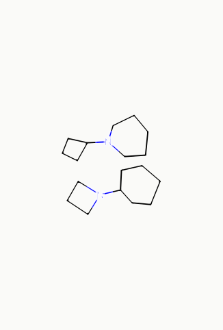 C1CCC(N2CCC2)CC1.C1CCN(C2CCC2)CC1